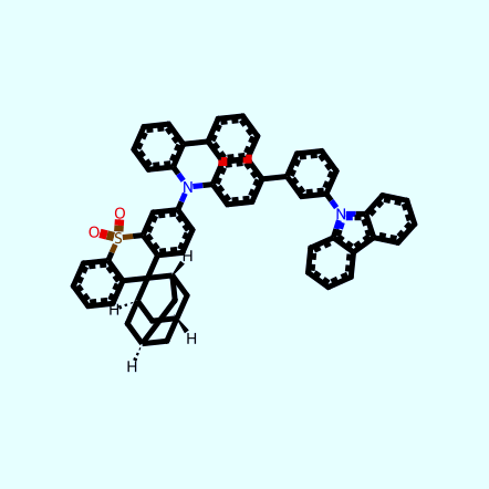 O=S1(=O)c2ccccc2C2(c3ccc(N(c4ccc(-c5cccc(-n6c7ccccc7c7ccccc76)c5)cc4)c4ccccc4-c4ccccc4)cc31)[C@H]1C[C@H]3C[C@H](C[C@H]2C3)C1